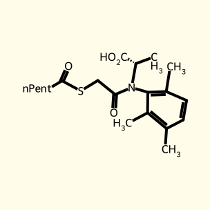 CCCCCC(=O)SCC(=O)N(c1c(C)ccc(C)c1C)[C@@H](C)C(=O)O